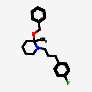 CC1(OCc2ccccc2)CCCCN1CCCc1ccc(F)cc1